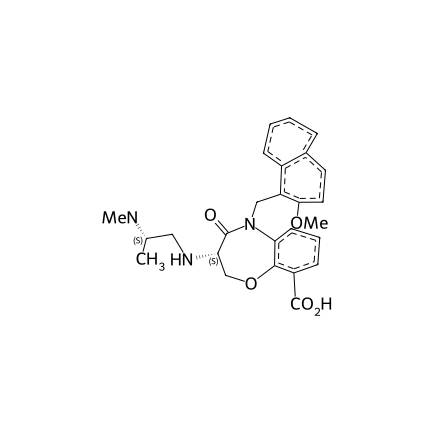 CN[C@@H](C)CN[C@H]1COc2c(C(=O)O)cccc2N(Cc2c(OC)ccc3ccccc23)C1=O